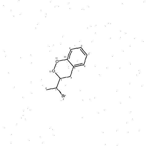 CC(Br)C1Cc2ccccc2OO1